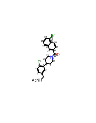 CC(=O)NCc1ccc(F)c(C2CCN(C(=O)c3ccc4c(Br)cccc4c3)CC2)c1